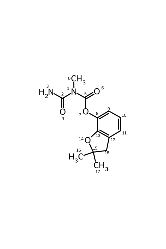 CN(C(N)=O)C(=O)Oc1cccc2c1OC(C)(C)C2